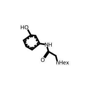 CCCCCCCC(=O)Nc1cccc(O)c1